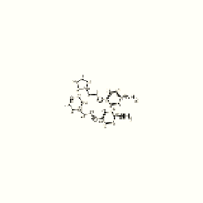 Nc1ccc(OCCN2CCCC2)cc1.Nc1ccc(OCCN2CCOCC2)cc1